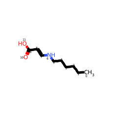 CCCCCCNC=CC(=O)O